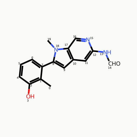 Cc1c(O)cccc1-c1cc2cc(NC=O)ncc2n1C